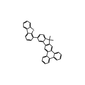 CC1(C)c2ccc(-c3cccc4c3sc3ccccc34)cc2-c2cc3c4ccccc4c4ccccc4c3cc21